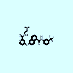 CN(C)CCNC(=O)c1cc(Oc2ccc3c(C(=O)Nc4cccc(C(F)(F)F)c4)cccc3c2)ccn1